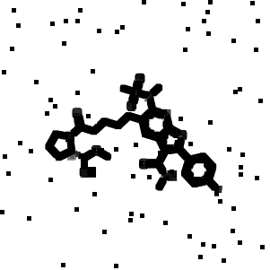 CNC(=O)c1c(-c2ccc(F)cc2)oc2nc(N(C)S(C)(=O)=O)c(CCCCC(=O)N3CCC[C@H]3C(O)OC)cc12